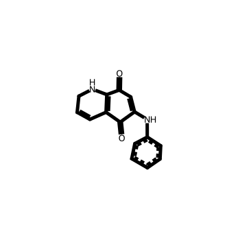 O=C1C=C(Nc2ccccc2)C(=O)C2=C1NCC=C2